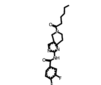 CCCCCC(=O)N1CCc2nc(NC(=O)c3ccc(F)c(F)c3)ncc2C1